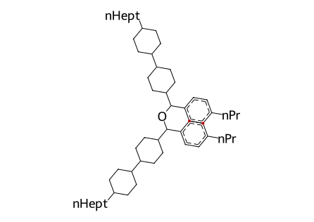 CCCCCCCC1CCC(C2CCC(C(OC(c3ccc(CCC)cc3)C3CCC(C4CCC(CCCCCCC)CC4)CC3)c3ccc(CCC)cc3)CC2)CC1